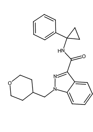 O=C(NC1(c2ccccc2)CC1)c1nn(CC2CCOCC2)c2ccccc12